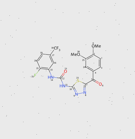 COc1ccc(C(=O)c2nnc(NC(=O)Nc3cc(C(F)(F)F)ccc3F)s2)cc1OC